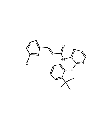 CC(C)(C)c1ccccc1Oc1ncccc1NC(=O)C=Cc1cccc(Cl)c1